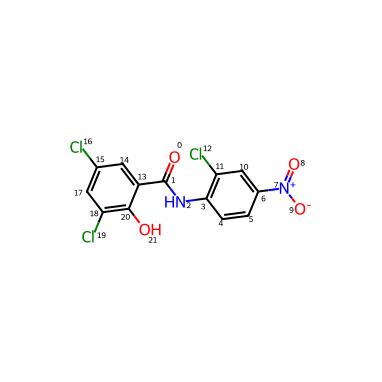 O=C(Nc1ccc([N+](=O)[O-])cc1Cl)c1cc(Cl)cc(Cl)c1O